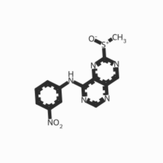 C[S+]([O-])c1ncc2ncnc(Nc3cccc([N+](=O)[O-])c3)c2n1